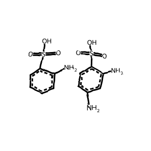 Nc1ccc(S(=O)(=O)O)c(N)c1.Nc1ccccc1S(=O)(=O)O